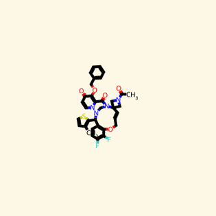 CC(=O)N1CC2(/C=C/COc3c(ccc(F)c3F)C(c3sccc3C)N3CN2C(=O)c2c(OCc4ccccc4)c(=O)ccn23)C1